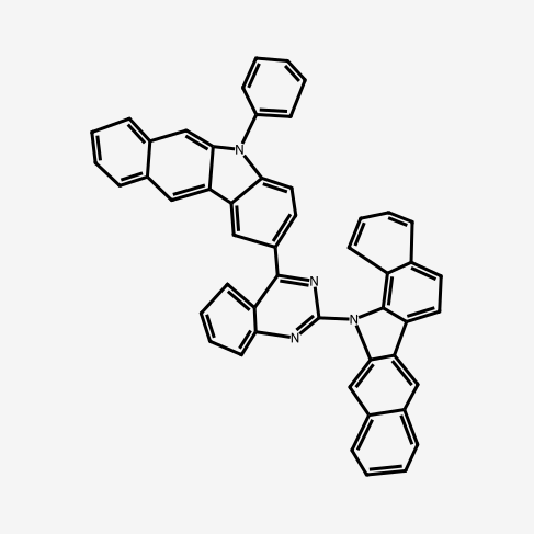 c1ccc(-n2c3ccc(-c4nc(-n5c6cc7ccccc7cc6c6ccc7ccccc7c65)nc5ccccc45)cc3c3cc4ccccc4cc32)cc1